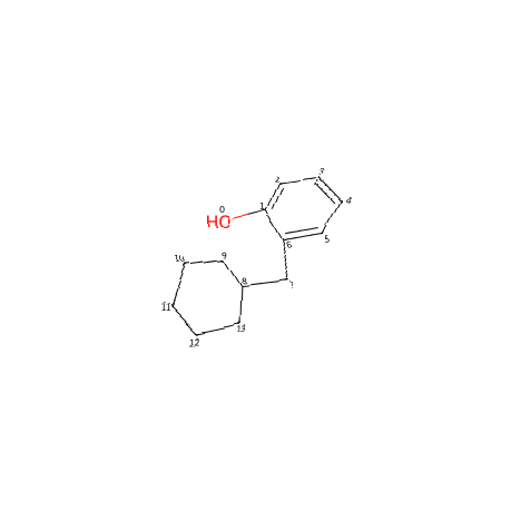 Oc1c[c]ccc1CC1CCCCC1